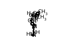 Cc1cc(C)c(S(=O)(=O)N[C@@H](CNC(=O)c2ccc3c(cnn3CCCNc3ncc[nH]3)c2)C(=O)O)c(C)c1